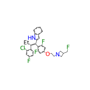 CC/C(=C(\c1cc2ccccc2[nH]1)c1c(F)cc(OCCN2CC(CF)C2)cc1F)c1ccc(F)cc1Cl